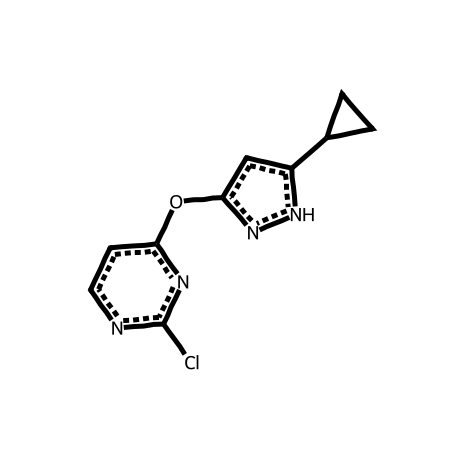 Clc1nccc(Oc2cc(C3CC3)[nH]n2)n1